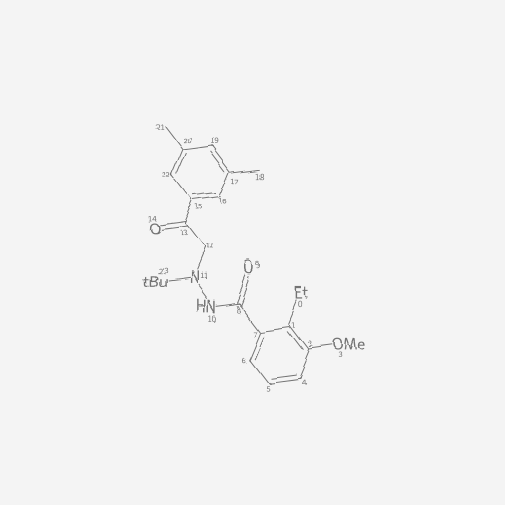 CCc1c(OC)cccc1C(=O)NN(CC(=O)c1cc(C)cc(C)c1)C(C)(C)C